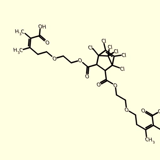 CC(CCOCCOC(=O)C1C(C(=O)OCCOCCC(C)=C(C)C(=O)O)C2(Cl)C(Cl)=C(Cl)C1(Cl)C2(Cl)Cl)=C(C)C(=O)O